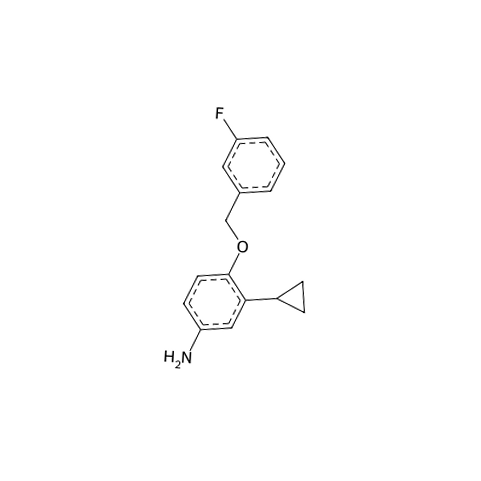 Nc1ccc(OCc2cccc(F)c2)c(C2CC2)c1